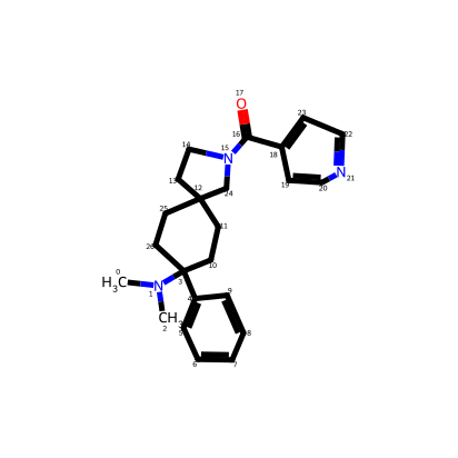 CN(C)C1(c2ccccc2)CCC2(CCN(C(=O)c3ccncc3)C2)CC1